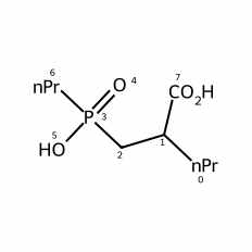 CCCC(CP(=O)(O)CCC)C(=O)O